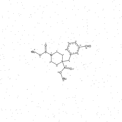 CC(C)(C)OC(=O)N1CCC(Cc2cccc(C=O)c2)(C(=O)OC(C)(C)C)CC1